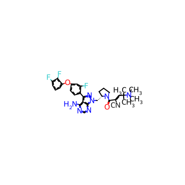 CN(C)C(C)(C)C=C(C#N)C(=O)N1CCC[C@H]1Cn1nc(-c2ccc(Oc3cccc(F)c3F)cc2F)c2c(N)ncnc21